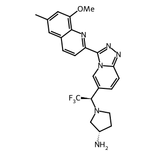 COc1cc(C)cc2ccc(-c3nnc4ccc([C@@H](N5CC[C@H](N)C5)C(F)(F)F)cn34)nc12